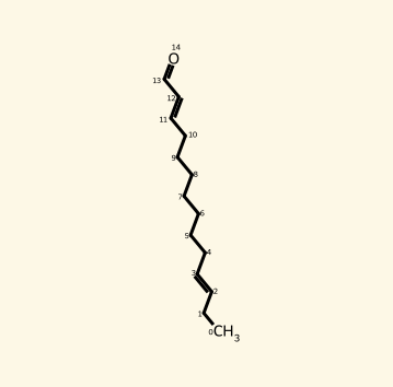 CCC=CCCCCCCCC=CC=O